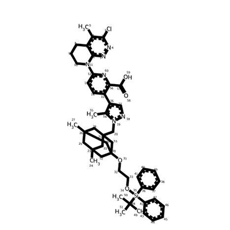 Cc1c(Cl)nnc2c1CCCN2c1ccc(-c2cnn(CC34CC5(C)CC(C)(C3)CC(OCCO[Si](c3ccccc3)(c3ccccc3)C(C)(C)C)(C5)C4)c2C)c(C(=O)O)n1